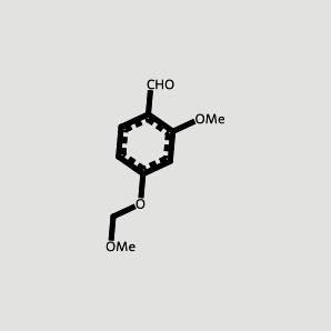 COCOc1ccc(C=O)c(OC)c1